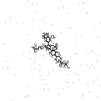 COc1cc(-c2c(CC(F)(F)F)c(-c3cc(C)c(C4CCN(C(=O)OC(C)(C)C)CC4)cn3)nn2COCC[Si](C)(C)C)cn2ncnc12